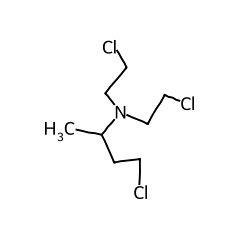 CC(CCCl)N(CCCl)CCCl